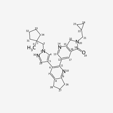 CC1(Cn2cc(-c3cc4c(nc3-c3cnc5c(c3)C(=O)N(CC3CC3)C5)CCC4)cn2)CCCC1